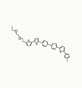 CCOCCOCCc1ccc(-c2ccc(-c3ccc(-c4ccc(-c5ccc(-c6ccc(C)s6)s5)cc4)cc3)s2)s1